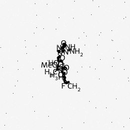 C=C/C(F)=C\C=C(/C)OP(=O)(N[C@@H](C)C(=O)OC)OC[C@H]1O[C@@H](n2cnc3c(=O)[nH]c(N)nc32)C[C@H]1O